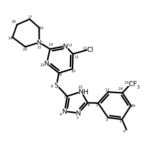 Cc1cc(-c2nnc(Sc3cc(Cl)nc(N4CCCCC4)n3)[nH]2)cc(C(F)(F)F)c1